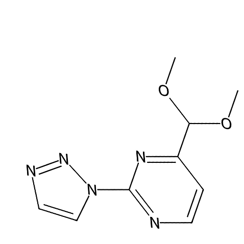 COC(OC)c1ccnc(-n2ccnn2)n1